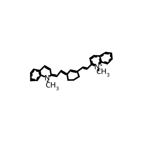 CN1/C(=C/C=C2C=C(/C=C/c3ccc4ccccc4[n+]3C)CCC/2)C=Cc2ccccc21